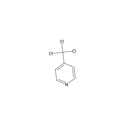 ClC(Cl)(Cl)c1c[c]ncc1